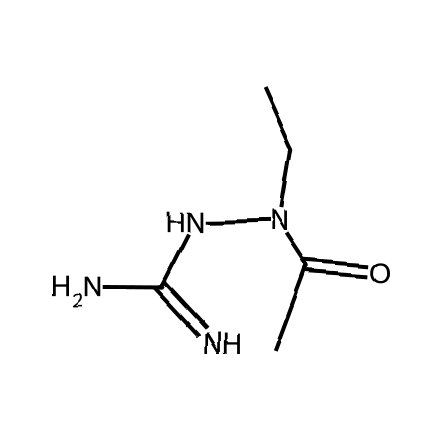 CCN(NC(=N)N)C(C)=O